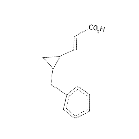 O=C(O)/C=C/C1CC1Cc1ccccc1